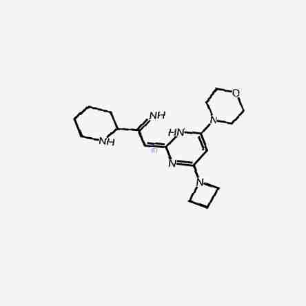 N=C(/C=C1/N=C(N2CCC2)C=C(N2CCOCC2)N1)C1CCCCN1